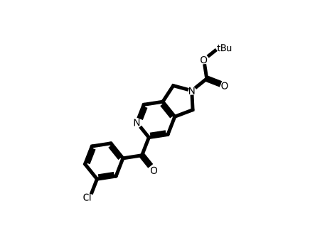 CC(C)(C)OC(=O)N1Cc2cnc(C(=O)c3cccc(Cl)c3)cc2C1